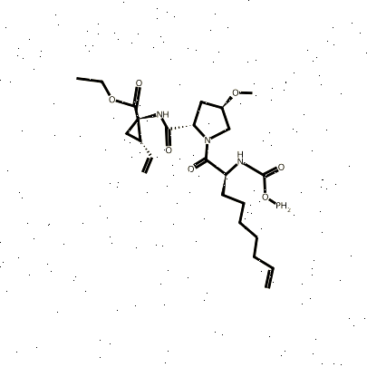 C=CCCCCC[C@H](NC(=O)OP)C(=O)N1C[C@H](OC)C[C@H]1C(=O)N[C@]1(C(=O)OCC)C[C@H]1C=C